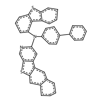 c1ccc(-c2ccc(N(c3cc4c(cn3)sc3cc5ccccc5cc34)c3cccc4sc5ccccc5c34)cc2)cc1